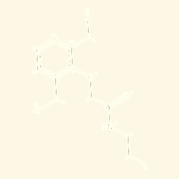 CCCNC(=O)COc1c(SCl)cccc1SCl